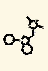 C=c1[nH]c(=O)/c(=C/c2cn(-c3ccccc3)c3ccccc23)s1